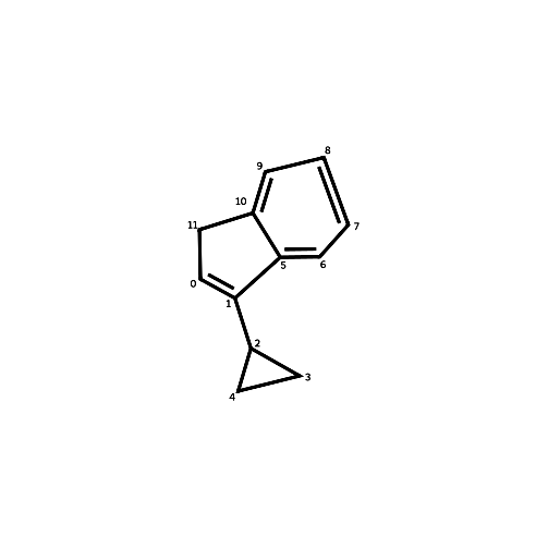 C1=C(C2CC2)c2ccccc2C1